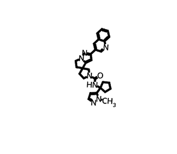 Cn1nccc1C1(NC(=O)N2CCC3(CCn4nc(-c5cnc6ccccc6c5)cc43)C2)CCCC1